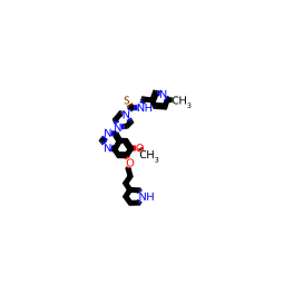 COc1cc2c(N3CCN(C(=S)NCc4ccc(C)nc4)CC3)ncnc2cc1OCCCC1CCCNC1